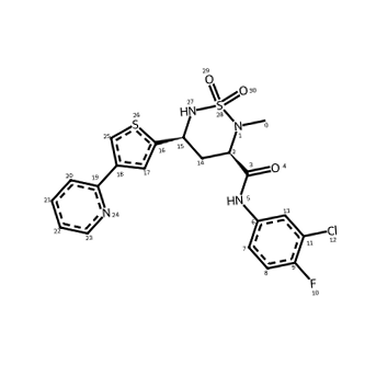 CN1[C@@H](C(=O)Nc2ccc(F)c(Cl)c2)C[C@@H](c2cc(-c3ccccn3)cs2)NS1(=O)=O